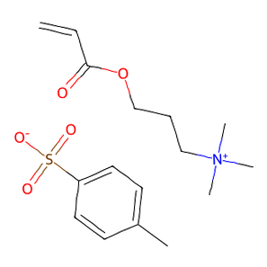 C=CC(=O)OCCC[N+](C)(C)C.Cc1ccc(S(=O)(=O)[O-])cc1